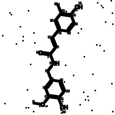 COc1cc(CNC(=O)/C=C/c2ccc(O)c(C)c2)ccc1O